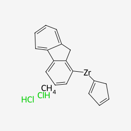 C.C1=CC[C]([Zr][c]2cccc3c2Cc2ccccc2-3)=C1.Cl.Cl